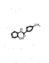 Cc1ccc(C(=O)Nc2cc[c]cc2O)cc1